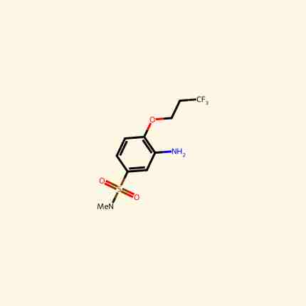 CNS(=O)(=O)c1ccc(OCCC(F)(F)F)c(N)c1